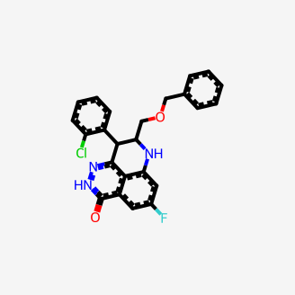 O=c1[nH]nc2c3c(cc(F)cc13)NC(COCc1ccccc1)C2c1ccccc1Cl